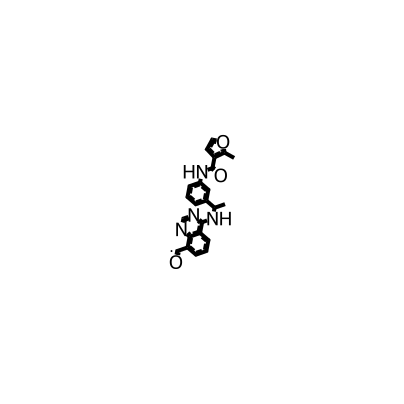 Cc1occc1C(=O)Nc1cccc(C(C)Nc2ncnc3c([C]=O)cccc23)c1